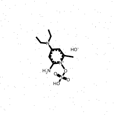 CCN(CC)c1cc(C)[n+](OS(=O)(=O)O)c(N)c1.[OH-]